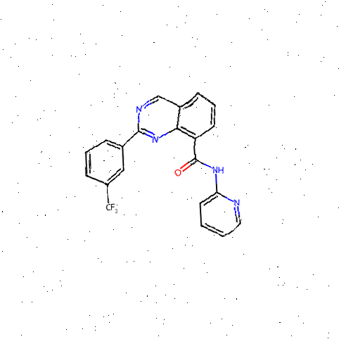 O=C(Nc1ccccn1)c1cccc2cnc(-c3cccc(C(F)(F)F)c3)nc12